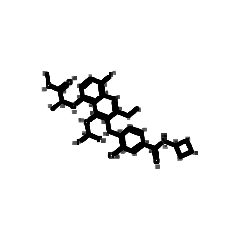 CCc1nc2c(F)ccc(O[C@@H](C)C(=O)OC)c2c(OC(F)F)c1Cc1ccc(C(=O)NC2CCC2)cc1Cl